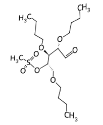 CCCCOC[C@H](OS(C)(=O)=O)[C@@H](OCCCC)[C@@H](C=O)OCCCC